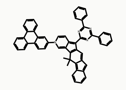 CC1(C)C2=c3ccccc3=CC2=Cc2c(-c3nc(-c4ccccc4)nc(-c4ccccc4)n3)c3ccn(-c4ccc5c6ccccc6c6ccccc6c5c4)cc-3c21